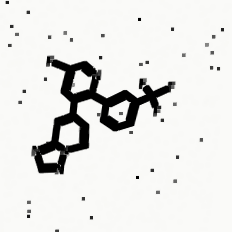 Fc1cnc(-c2cccc(C(F)(F)F)c2)c(-c2ccn3ncnc3c2)c1